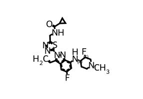 C=Cc1c2cc(F)cc(N[C@@H]3CCN(C)C[C@@H]3F)c2nn1-c1nnc(CNC(=O)C2CC2)s1